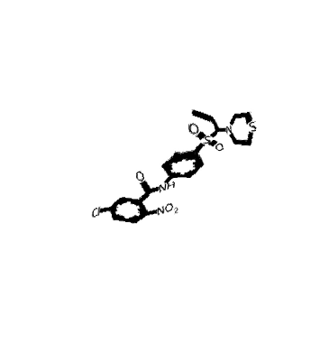 C=CC(N1CCSCC1)S(=O)(=O)c1ccc(NC(=O)c2cc(Cl)ccc2[N+](=O)[O-])cc1